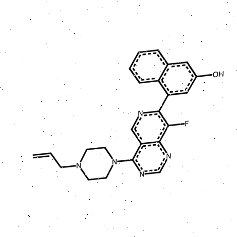 C=CCN1CCN(c2ncnc3c(F)c(-c4cc(O)cc5ccccc45)ncc23)CC1